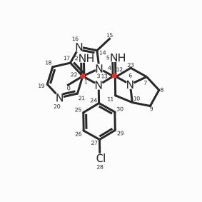 CC(=N)N(C(=N)N1C2CCC1CC(n1c(C)nc3ccncc31)C2)c1ccc(Cl)cc1